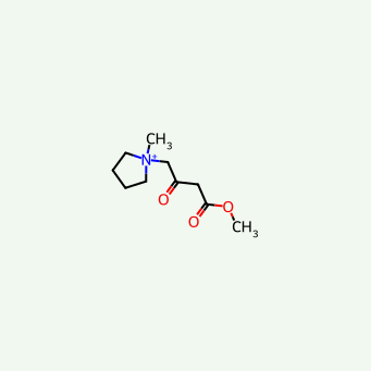 COC(=O)CC(=O)C[N+]1(C)CCCC1